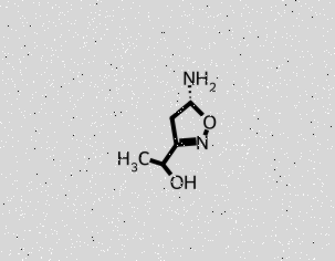 CC(O)C1=NO[C@@H](N)C1